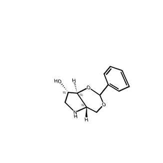 O[C@H]1CN[C@H]2COC(c3ccccc3)O[C@@H]21